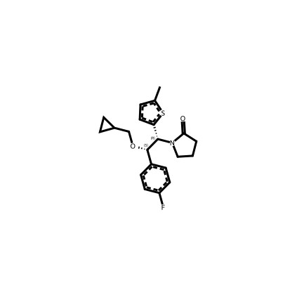 Cc1ccc([C@@H]([C@@H](OCC2CC2)c2ccc(F)cc2)N2CCCC2=O)s1